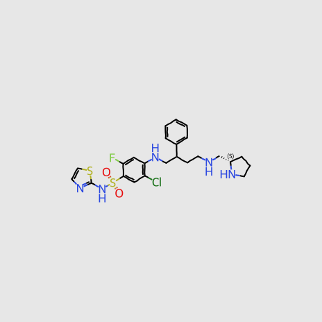 O=S(=O)(Nc1nccs1)c1cc(Cl)c(NCC(CCNC[C@@H]2CCCN2)c2ccccc2)cc1F